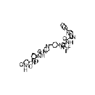 O=C1CCC(c2noc3c(NC(=O)CN4CCN(CC5CCC(n6cc(NC(=O)c7cnn8ccc(N9CC%10CCC(C9)O%10)nc78)c(C(F)F)n6)CC5)CC4)cccc23)C(=O)N1